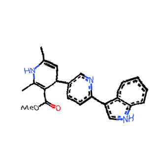 COC(=O)C1=C(C)NC(C)=CC1c1ccc(-c2c[nH]c3ccccc23)nc1